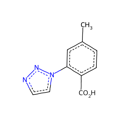 Cc1ccc(C(=O)O)c(-n2ccnn2)c1